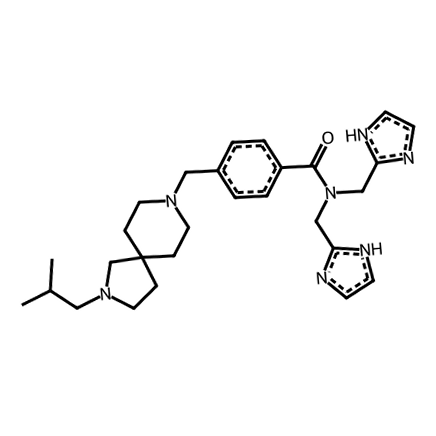 CC(C)CN1CCC2(CCN(Cc3ccc(C(=O)N(Cc4ncc[nH]4)Cc4ncc[nH]4)cc3)CC2)C1